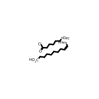 CCCCCC/C=C\CCCCCCCC(=O)O.CCCCCCCCCCCCCCCC(=O)Cl